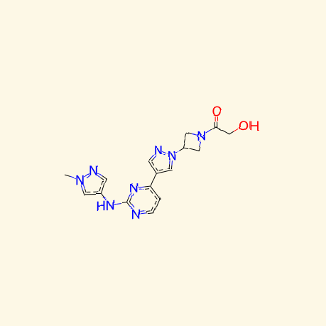 Cn1cc(Nc2nccc(-c3cnn(C4CN(C(=O)CO)C4)c3)n2)cn1